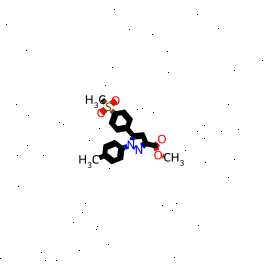 COC(=O)c1cc(-c2ccc(S(C)(=O)=O)cc2)n(-c2ccc(C)cc2)n1